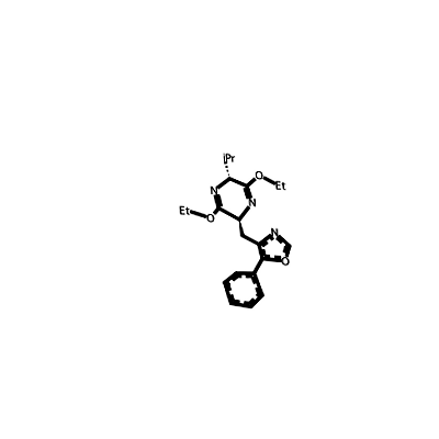 CCOC1=N[C@H](C(C)C)C(OCC)=N[C@H]1Cc1ncoc1-c1ccccc1